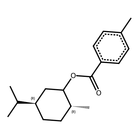 Cc1ccc(C(=O)OC2C[C@H](C(C)C)CC[C@H]2C)cc1